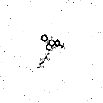 CNCCNC(=O)OC[C@H]1CC[C@@H]2[C@H](O1)c1cc(C(F)(F)F)ccc1N[C@H]2C1C=CC=CC1